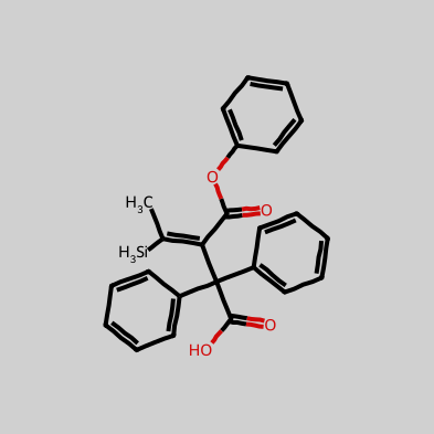 CC([SiH3])=C(C(=O)Oc1ccccc1)C(C(=O)O)(c1ccccc1)c1ccccc1